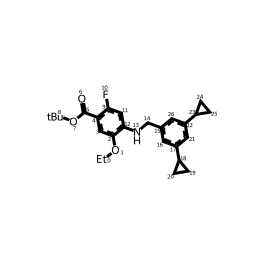 CCOc1cc(C(=O)OC(C)(C)C)c(F)cc1NCc1cc(C2CC2)cc(C2CC2)c1